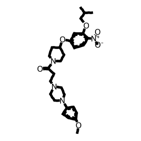 COc1ccc(N2CCN(CCC(=O)N3CCC(Oc4ccc([N+](=O)[O-])c(OCC(C)C)c4)CC3)CC2)cc1